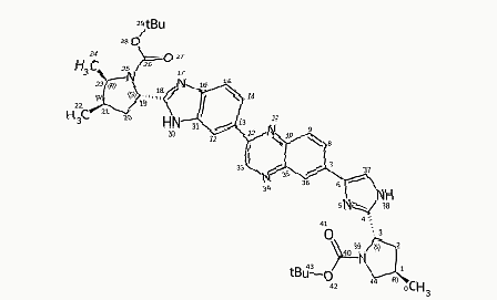 C[C@@H]1C[C@@H](c2nc(-c3ccc4nc(-c5ccc6nc([C@@H]7C[C@@H](C)[C@@H](C)N7C(=O)OC(C)(C)C)[nH]c6c5)cnc4c3)c[nH]2)N(C(=O)OC(C)(C)C)C1